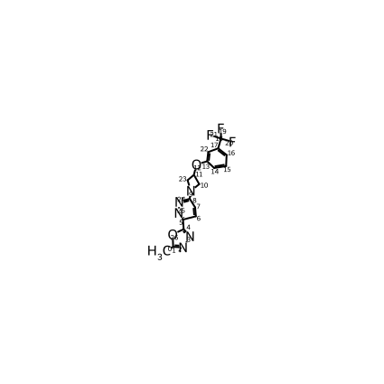 Cc1nnc(-c2ccc(N3CC(Oc4cccc(C(F)(F)F)c4)C3)nn2)o1